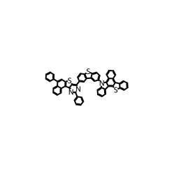 c1ccc(-c2nc(-c3ccc4sc5ccc(-n6c7ccccc7c7c8sc9ccccc9c8c8ccccc8c76)cc5c4c3)c3sc4cc(-c5ccccc5)c5ccccc5c4c3n2)cc1